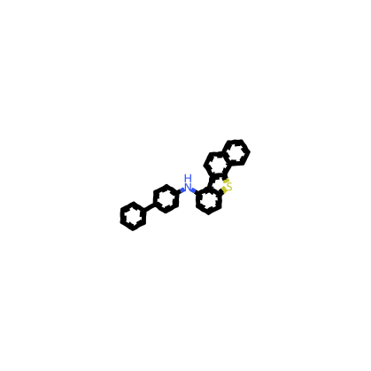 c1ccc(-c2ccc(Nc3cccc4sc5c6ccccc6ccc5c34)cc2)cc1